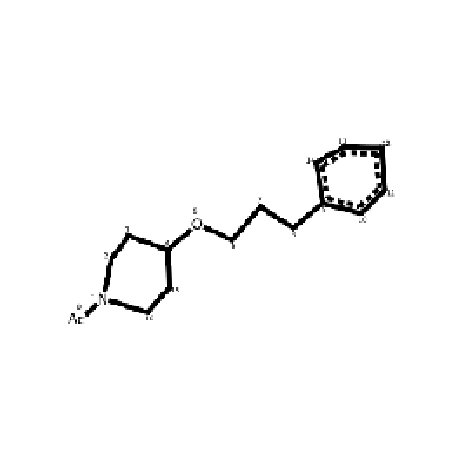 CC(=O)N1CCC(OCCCc2ccccc2)CC1